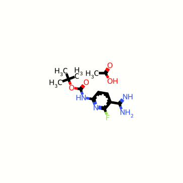 CC(=O)O.CC(C)(C)OC(=O)Nc1ccc(C(=N)N)c(F)n1